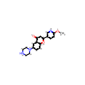 COc1ccc(-c2cc(=O)c3cc(N4CCNCC4)ccc3o2)cn1